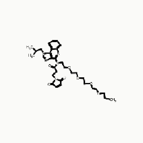 CCCOCCOCCOCCOCCN(C(=O)CCN1C(=O)C=CC1=O)c1nc2ccccc2c2c1ncn2CC(C)C